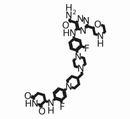 NC(=O)c1nnc(C2CNCCO2)nc1Nc1ccc(N2CCN(CC3CCN(c4ccc(NC5CCC(=O)NC5=O)c(F)c4)CC3)CC2)c(F)c1